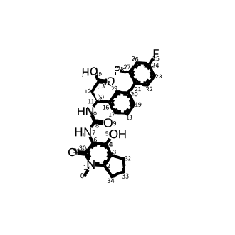 Cn1c2c(c(O)c(NC(=O)N[C@@H](CC(=O)O)c3cccc(-c4ccc(F)cc4F)c3)c1=O)CCC2